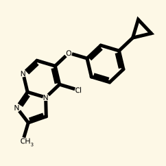 Cc1cn2c(Cl)c(Oc3cccc(C4CC4)c3)cnc2n1